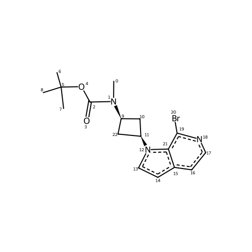 CN(C(=O)OC(C)(C)C)[C@H]1C[C@@H](n2ccc3ccnc(Br)c32)C1